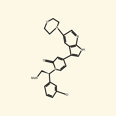 CNC[C@H](c1cccc(Cl)c1)n1ccc(-c2c[nH]c3ncc(N4CCOCC4)cc23)cc1=O